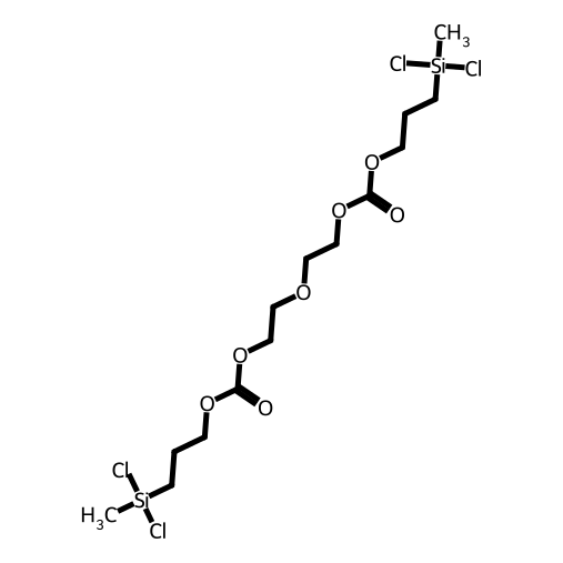 C[Si](Cl)(Cl)CCCOC(=O)OCCOCCOC(=O)OCCC[Si](C)(Cl)Cl